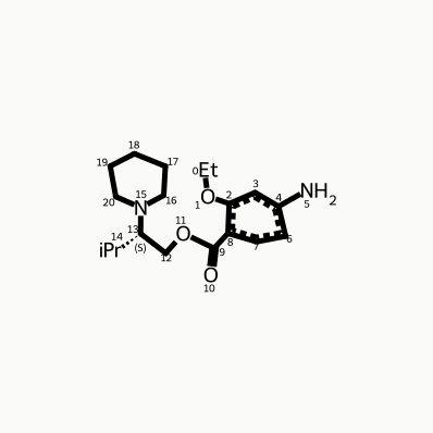 CCOc1cc(N)ccc1C(=O)OC[C@H](C(C)C)N1CCCCC1